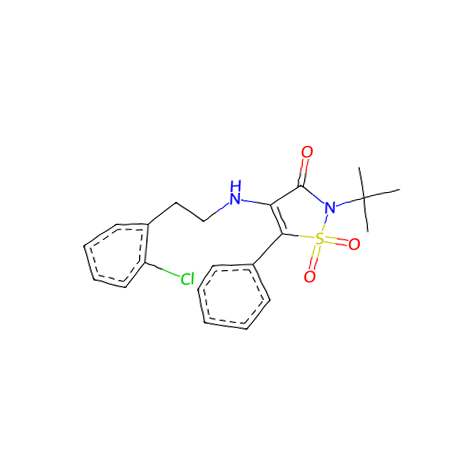 CC(C)(C)N1C(=O)C(NCCc2ccccc2Cl)=C(c2ccccc2)S1(=O)=O